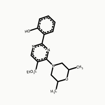 CCOC(=O)c1cnc(-c2ccccc2O)nc1N1CC(C)OC(C)C1